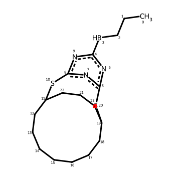 CCCBc1nc2nc(n1)SC1CCCCCCCC(CCC1)S2